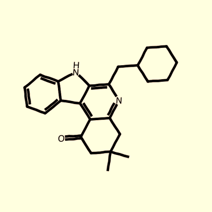 CC1(C)CC(=O)c2c(nc(CC3CCCCC3)c3[nH]c4ccccc4c23)C1